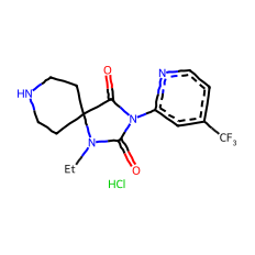 CCN1C(=O)N(c2cc(C(F)(F)F)ccn2)C(=O)C12CCNCC2.Cl